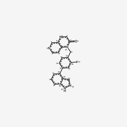 O=c1cnc2cnccc2n1Cc1ccc(-c2cccc3[nH]ncc23)cc1F